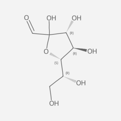 O=CC1(O)O[C@@H]([C@H](O)CO)[C@H](O)[C@H]1O